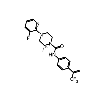 C=C(c1ccc(NC(=O)N2CCN(c3ncccc3F)C[C@H]2C)cc1)C(F)(F)F